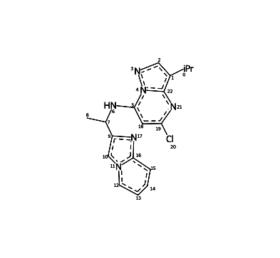 CC(C)c1cnn2c(NC(C)c3cn4ccccc4n3)cc(Cl)nc12